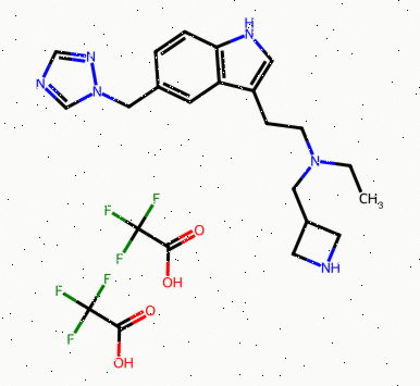 CCN(CCc1c[nH]c2ccc(Cn3cncn3)cc12)CC1CNC1.O=C(O)C(F)(F)F.O=C(O)C(F)(F)F